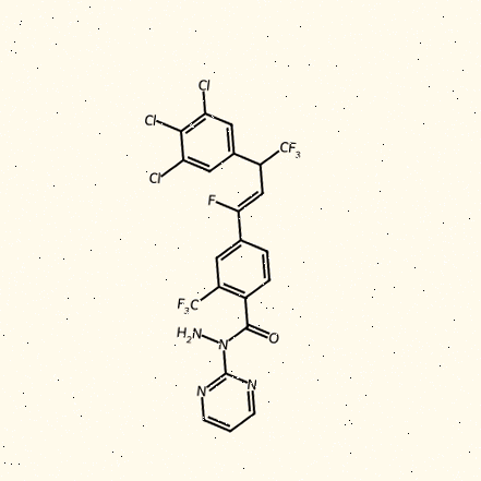 NN(C(=O)c1ccc(C(F)=CC(c2cc(Cl)c(Cl)c(Cl)c2)C(F)(F)F)cc1C(F)(F)F)c1ncccn1